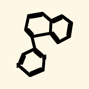 c1ccc2c(-c3cnccn3)cccc2c1